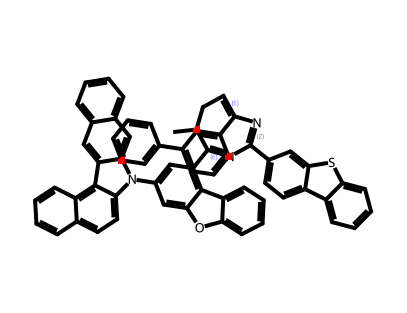 CC1C/C=C(c2cccc(-c3ccccc3)c2)/N=C(c2ccc3c(c2)sc2ccccc23)\N=C/1c1cc(-n2c3cc4ccccc4cc3c3c4ccccc4ccc32)cc2oc3ccccc3c12